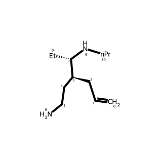 C=CC[C@@H](CCN)[C@H](CC)NCCC